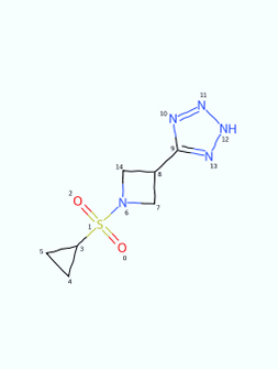 O=S(=O)(C1CC1)N1CC(c2nn[nH]n2)C1